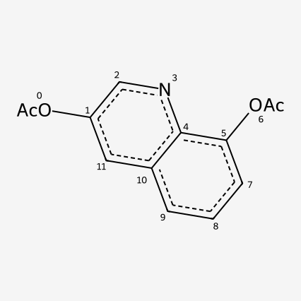 CC(=O)Oc1cnc2c(OC(C)=O)cccc2c1